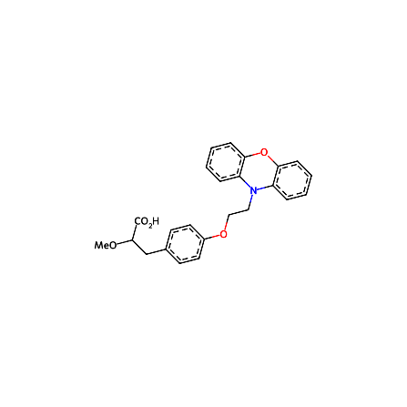 COC(Cc1ccc(OCCN2c3ccccc3Oc3ccccc32)cc1)C(=O)O